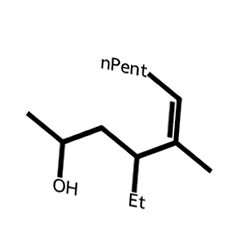 CCCCCC=C(C)C(CC)CC(C)O